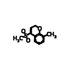 Cc1cccc2c1OCC=C2S(C)(=O)=O